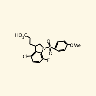 COc1ccc(S(=O)(=O)N2CC(CCC(=O)O)c3c(Cl)ccc(F)c32)cc1